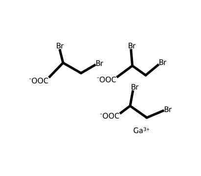 O=C([O-])C(Br)CBr.O=C([O-])C(Br)CBr.O=C([O-])C(Br)CBr.[Ga+3]